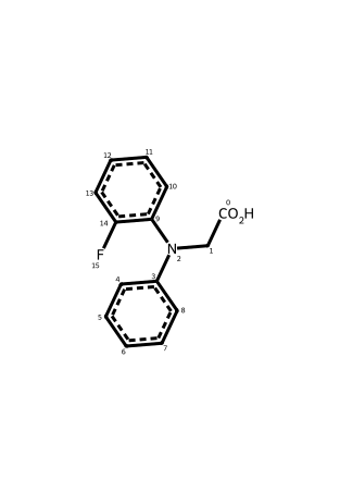 O=C(O)CN(c1ccccc1)c1ccccc1F